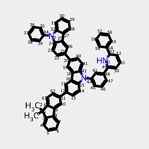 CC1(C)c2ccccc2-c2cc(-c3ccc4c(c3)c3cc(-c5ccc6c(c5)c5ccccc5n6-c5ccccc5)ccc3n4-c3cccc(C4=CC=CC(c5ccccc5)N4)c3)ccc21